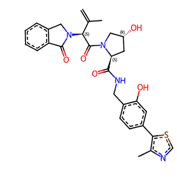 C=C(C)[C@@H](C(=O)N1C[C@H](O)C[C@H]1C(=O)NCc1ccc(-c2scnc2C)cc1O)N1Cc2ccccc2C1=O